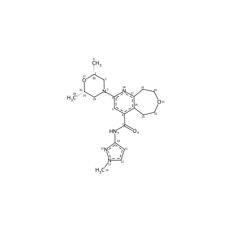 C[C@@H]1CN(c2cc(C(=O)Nc3ccn(C)n3)c3c(n2)CCOCC3)C[C@H](C)O1